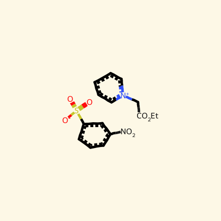 CCOC(=O)C[n+]1ccccc1.O=[N+]([O-])c1cccc(S(=O)(=O)[O-])c1